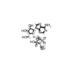 Nc1ncnc2c1ncn2[C@@H]1O[C@H](CO)[C@@H](O)[C@H]1O.O.O=P([O-])([O-])OP(=O)(O)O.[Na+].[Na+]